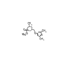 Cc1cc(OCC2CC(C(F)(F)F)CN(C(=O)OC(C)(C)C)C2)cc(C)n1